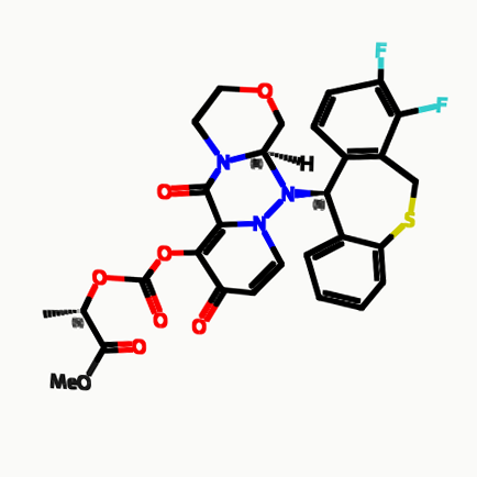 COC(=O)[C@H](C)OC(=O)Oc1c2n(ccc1=O)N([C@@H]1c3ccccc3SCc3c1ccc(F)c3F)[C@@H]1COCCN1C2=O